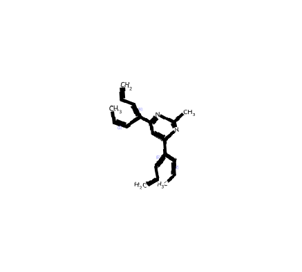 C=C/C=C(\C=C/C)c1cc(C(/C=C\C)=C/C=C)nc(C)n1